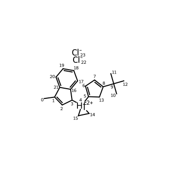 CC1=C[CH]([Hf+2]2([C]3=CC=C(C(C)(C)C)C3)[CH2][CH2]2)c2ccccc21.[Cl-].[Cl-]